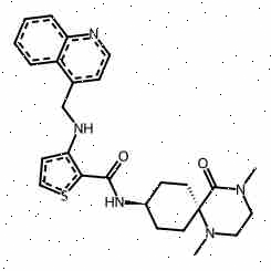 CN1CCN(C)[C@]2(CC[C@H](NC(=O)c3sccc3NCc3ccnc4ccccc34)CC2)C1=O